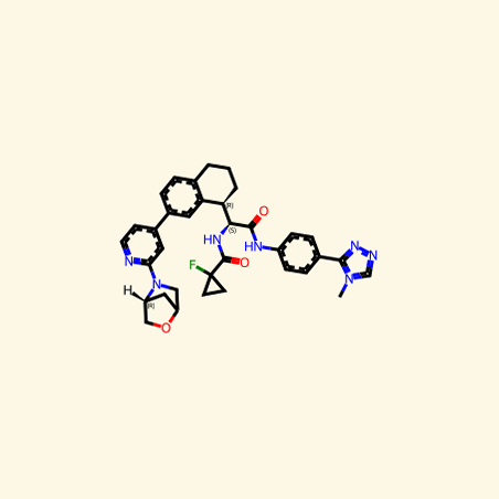 Cn1cnnc1-c1ccc(NC(=O)[C@@H](NC(=O)C2(F)CC2)[C@@H]2CCCc3ccc(-c4ccnc(N5CC6C[C@@H]5CO6)c4)cc32)cc1